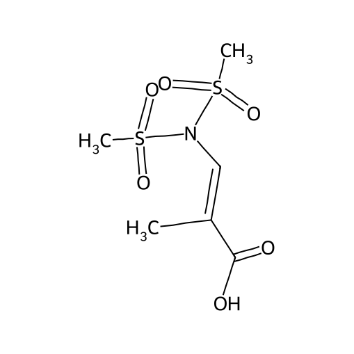 C/C(=C\N(S(C)(=O)=O)S(C)(=O)=O)C(=O)O